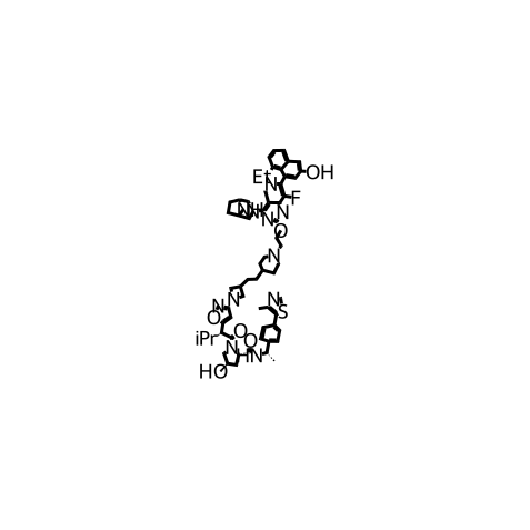 CCc1cccc2cc(O)cc(-c3ncc4c(N5CC6CCC(C5)N6)nc(OCCN5CCC(CCC6CN(c7cc([C@H](C(=O)N8C[C@H](O)C[C@H]8C(=O)N[C@@H](C)c8ccc(-c9scnc9C)cc8)C(C)C)on7)C6)CC5)nc4c3F)c12